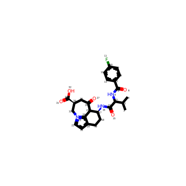 CC(C)C(NC(=O)c1ccc(F)cc1)C(=O)N[C@H]1CCc2ccn3c2C1C(=O)C[C@H](C(=O)O)C3